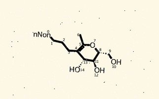 CCCCCCCCCCCCC1=C(C)O[C@H](CO)[C@@H](O)[C@@H]1O